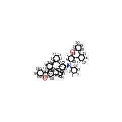 c1ccc(N(c2ccc3c(c2)-c2ccccc2-c2ccccc2O3)c2ccc3c(c2)-c2ccccc2-c2ccccc2C32c3ccccc3-c3cc4oc5ccccc5c4cc32)cc1